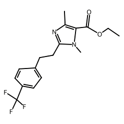 CCOC(=O)c1c(C)nc(CCc2ccc(C(F)(F)F)cc2)n1C